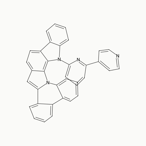 c1cc(-c2ccncc2)nc(-n2c3ccccc3c3ccc4cc5c6ccccc6c6ccccc6n5c4c32)c1